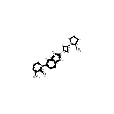 Cc1cccn(-c2ccc3nc([C@H]4C[C@H](N5CCC[C@H]5C)C4)sc3c2)c1=O